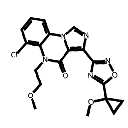 COCCn1c(=O)c2c(-c3noc(C4(OC)CC4)n3)ncn2c2cccc(Cl)c21